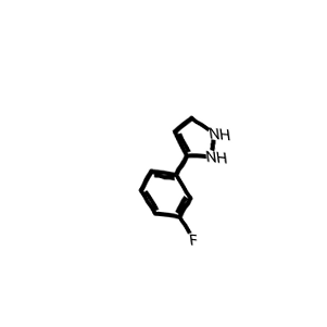 Fc1cccc(C2=CCNN2)c1